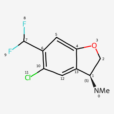 CN[C@@H]1COc2cc(C(F)F)c(Cl)cc21